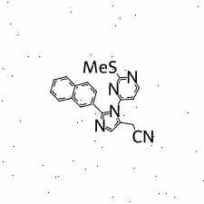 CSc1nccc(-n2c(CC#N)cnc2-c2ccc3ccccc3c2)n1